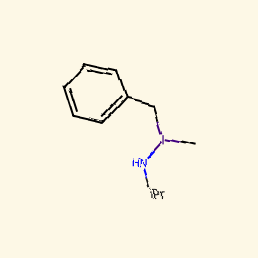 CC(C)NI(C)Cc1ccccc1